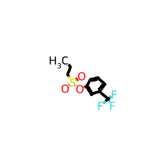 CCCS(=O)(=O)Oc1cccc(C(F)(F)F)c1